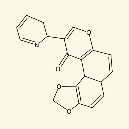 O=c1c(C2CC=CC=N2)coc2c1C1C3=C(C=CC1C=C2)OCO3